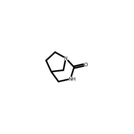 O=C1NCC2CCN1C2